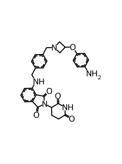 Nc1ccc(OC2CN(Cc3ccc(CNc4cccc5c4C(=O)N(C4CCC(=O)NC4=O)C5=O)cc3)C2)cc1